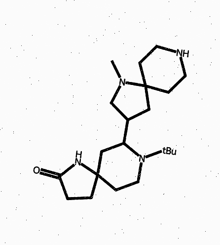 CN1CC(C2CC3(CCC(=O)N3)CCN2C(C)(C)C)CC12CCNCC2